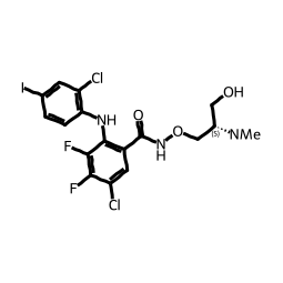 CN[C@@H](CO)CONC(=O)c1cc(Cl)c(F)c(F)c1Nc1ccc(I)cc1Cl